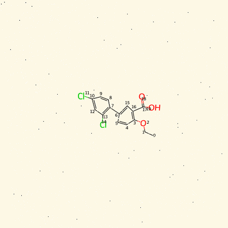 CCOc1ccc(-c2ccc(Cl)cc2Cl)cc1C(=O)O